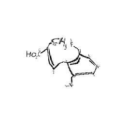 C/C(=C\c1c(F)cncc1F)C(=O)O